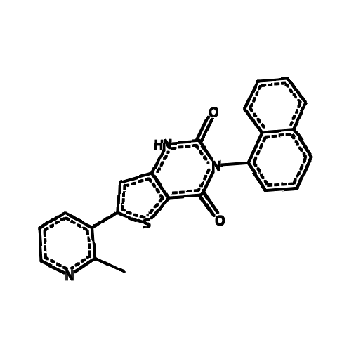 Cc1ncccc1-c1cc2[nH]c(=O)n(-c3cccc4ccccc34)c(=O)c2s1